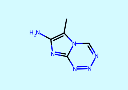 Cc1c(N)nc2nnncn12